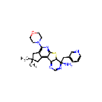 CC1(C)Cc2c(N3CCOCC3)nc3c(c2C1)C1=NC=NC(N)(Cc2cccnc2)C1S3